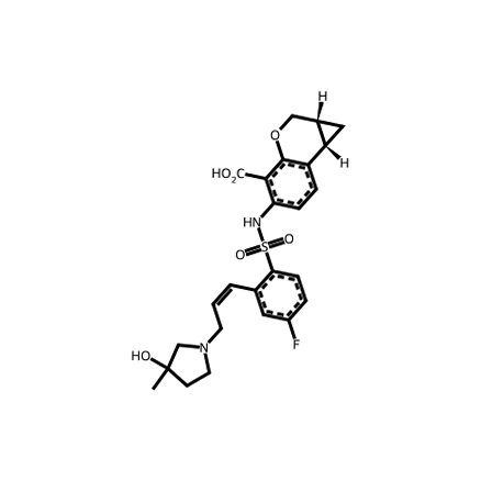 CC1(O)CCN(C/C=C\c2cc(F)ccc2S(=O)(=O)Nc2ccc3c(c2C(=O)O)OC[C@@H]2C[C@H]32)C1